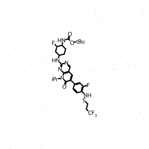 CC(C)n1c(=O)c(-c2ccc(NSCCC(F)(F)F)c(F)c2)cc2cnc(NC3CCC(NC(=O)OC(C)(C)C)C(F)C3)nc21